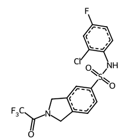 O=C(N1Cc2ccc(S(=O)(=O)Nc3ccc(F)cc3Cl)cc2C1)C(F)(F)F